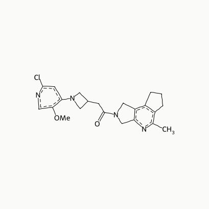 COc1cnc(Cl)cc1N1CC(CC(=O)N2Cc3nc(C)c4c(c3C2)CCC4)C1